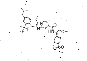 CCc1c(Cc2ccc(CC(C)C)cc2C(F)(F)F)nc2cc(C(=O)N[C@@H](CO)c3ccc(S(=O)(=O)CC)cc3)ccn12